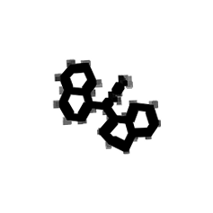 [N-]=[N+]=C(c1cccc2ccccc12)c1cccc2ccccc12